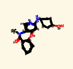 CN1C(=O)c2ccccc2Oc2cc(N[C@H]3CC[C@H](O)CC3)ncc21